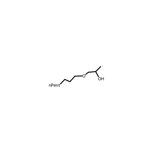 [CH2]C(O)COCCCCCCCC